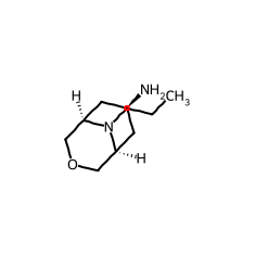 CCCN1[C@@H]2COC[C@H]1C[C@@H](N)C2